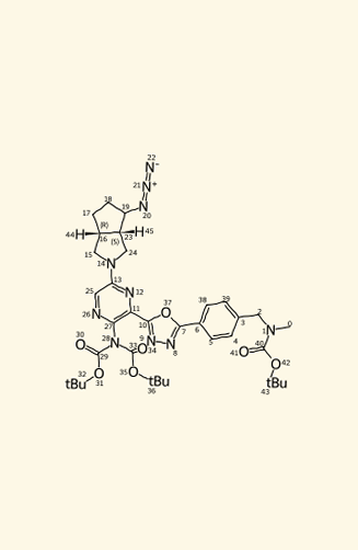 CN(Cc1ccc(-c2nnc(-c3nc(N4C[C@@H]5CCC(N=[N+]=[N-])[C@@H]5C4)cnc3N(C(=O)OC(C)(C)C)C(=O)OC(C)(C)C)o2)cc1)C(=O)OC(C)(C)C